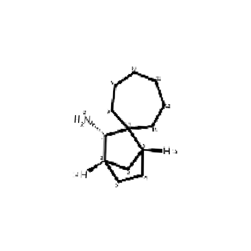 N[C@H]1[C@H]2CC[C@H](C2)C12CCCCCC2